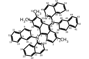 Cc1ccc2c(N(c3ccc4ccccc4c3)c3nccc4ccccc34)c3cc(C)c(C)cc3c(N(c3ccc4ccccc4c3)c3nccc4ccccc34)c2c1